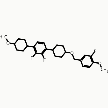 COc1ccc(COC2CCC(c3ccc(C4CCC(OC)CC4)c(F)c3F)CC2)cc1F